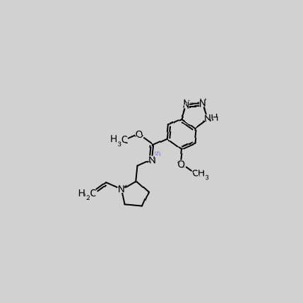 C=CN1CCCC1C/N=C(\OC)c1cc2nn[nH]c2cc1OC